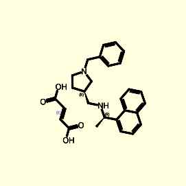 C[C@@H](NC[C@H]1CCN(Cc2ccccc2)C1)c1cccc2ccccc12.O=C(O)/C=C/C(=O)O